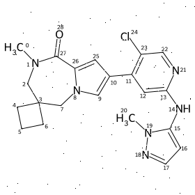 CN1CC2(CCC2)Cn2cc(-c3cc(Nc4ccnn4C)ncc3Cl)cc2C1=O